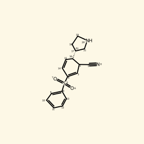 N#CC1C=C(S(=O)(=O)c2ccccc2)C=CC1[C@@H]1CCNC1